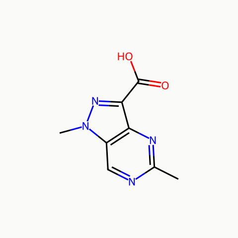 Cc1ncc2c(n1)c(C(=O)O)nn2C